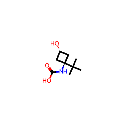 CC(C)(C)[C@]1(NC(=O)O)C[C@H](O)C1